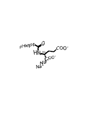 CCCCCCCC(=O)N[C@@H](CCC(=O)[O-])C(=O)[O-].[Na+].[Na+]